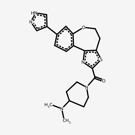 CN(C)C1CCN(C(=O)c2nc3c(s2)CCOc2cc(-c4cn[nH]c4)ccc2-3)CC1